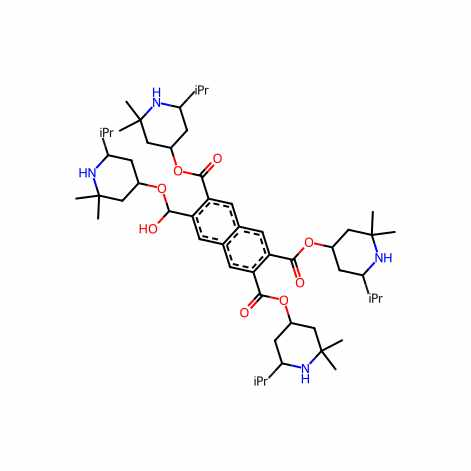 CC(C)C1CC(OC(=O)c2cc3cc(C(=O)OC4CC(C(C)C)NC(C)(C)C4)c(C(O)OC4CC(C(C)C)NC(C)(C)C4)cc3cc2C(=O)OC2CC(C(C)C)NC(C)(C)C2)CC(C)(C)N1